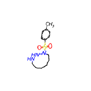 Cc1ccc(S(=O)(=O)N2CCCCCCNN2)cc1